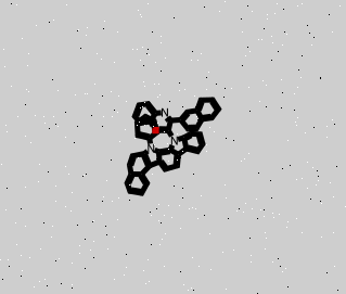 c1ccc(-n2c3ccc4ccccc4c3c3ccc4c5ccccc5n(-c5nc6ccccc6nc5-c5ccc6ccccc6c5)c4c32)cc1